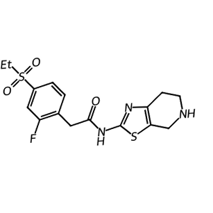 CCS(=O)(=O)c1ccc(CC(=O)Nc2nc3c(s2)CNCC3)c(F)c1